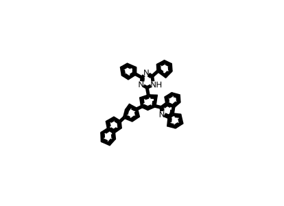 c1ccc(C2=NC(c3cc(-c4ccc(-c5ccc6ccccc6c5)cc4)cc(-c4nc5ccccc5c5ccccc45)c3)NC(c3ccccc3)=N2)cc1